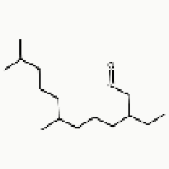 CCC(C[C]=O)CCCC(C)CCCC(C)C